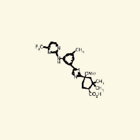 CO[C@]1(c2ncc(-c3cc(C)cc(Nc4nccc(C(F)(F)F)n4)c3)s2)CC[C@H](C(=O)O)C(C)(C)C1